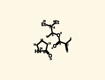 C=C(C)C(=O)OC(C)N(CC)CC.O=C1CCCN1